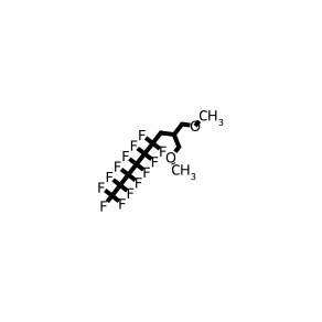 COCC(COC)CC(F)(F)C(F)(F)C(F)(F)C(F)(F)C(F)(F)C(F)(F)F